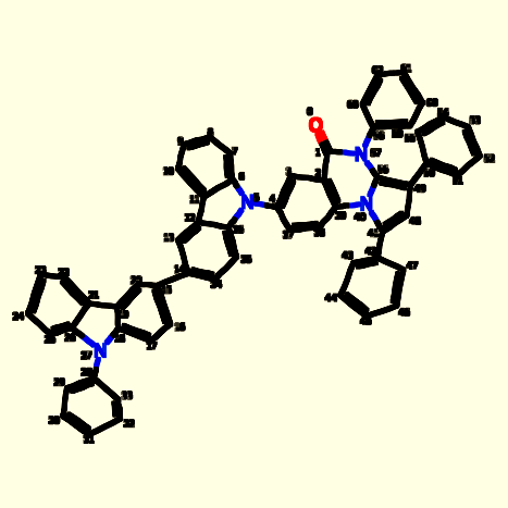 O=c1c2cc(-n3c4ccccc4c4cc(-c5ccc6c(c5)c5ccccc5n6-c5ccccc5)ccc43)ccc2n2c(-c3ccccc3)cc(-c3ccccc3)c2n1-c1ccccc1